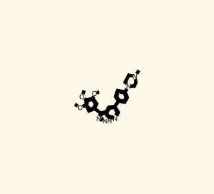 COc1cc(-c2n[nH]c3ncc(-c4ccc(N5CCN(C)CC5)cc4)cc23)cc(OC)c1OC